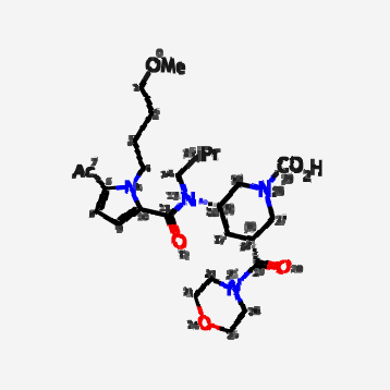 COCCCCn1c(C(C)=O)ccc1C(=O)N(CC(C)C)[C@H]1C[C@@H](C(=O)N2CCOCC2)CN(C(=O)O)C1